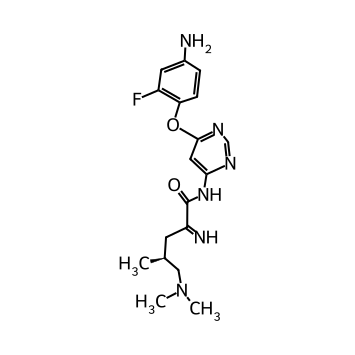 C[C@@H](CC(=N)C(=O)Nc1cc(Oc2ccc(N)cc2F)ncn1)CN(C)C